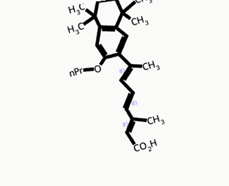 CCCOc1cc2c(cc1/C(C)=C/C=C/C(C)=C/C(=O)O)C(C)(C)CCC2(C)C